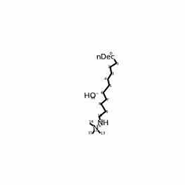 CCCCCCCCCCCCCCCCCCCCN[N+](C)(C)C.[OH-]